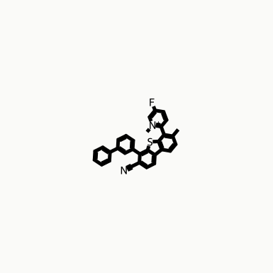 Cc1ccc2c(sc3c(-c4cccc(-c5ccccc5)c4)c(C#N)ccc32)c1-c1ccc(F)c[n+]1C